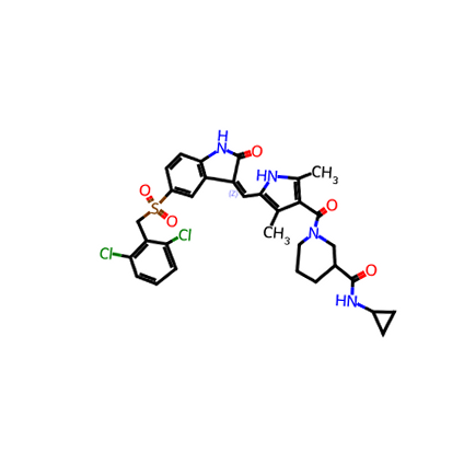 Cc1[nH]c(/C=C2\C(=O)Nc3ccc(S(=O)(=O)Cc4c(Cl)cccc4Cl)cc32)c(C)c1C(=O)N1CCCC(C(=O)NC2CC2)C1